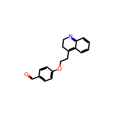 O=Cc1ccc(OCCC2=c3ccccc3=NCC2)cc1